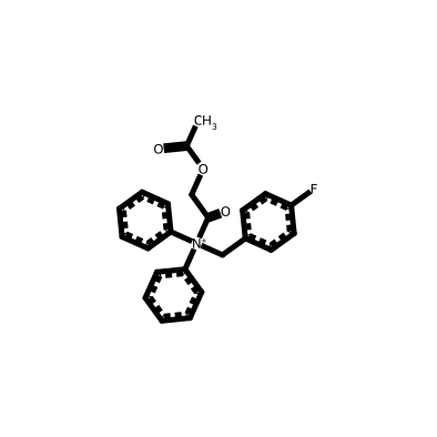 CC(=O)OCC(=O)[N+](Cc1ccc(F)cc1)(c1ccccc1)c1ccccc1